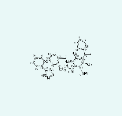 CCCn1c(=O)n(C(C)c2ccccc2)c(=O)c2c1nc(CC)n2Cc1ccc(-c2ccccc2-c2nnn[nH]2)cc1